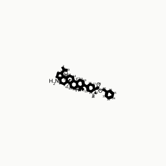 C=C(C)C1CC[C@]2(N)CC[C@]3(C)[C@H](CCC4[C@@]5(C)CC=C(C6=CC[C@](CF)(C(=O)OCc7ccccc7)CC6)C(C)(C)[C@H]5CC[C@]43C)C12